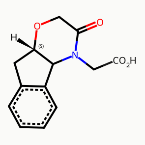 O=C(O)CN1C(=O)CO[C@H]2Cc3ccccc3C21